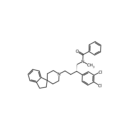 CN(C[C@@H](CCN1CCC2(CCc3ccccc32)CC1)c1ccc(Cl)c(Cl)c1)C(=O)c1ccccc1